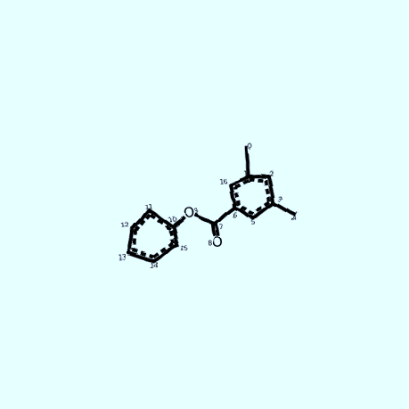 Cc1cc(C)cc(C(=O)Oc2ccccc2)c1